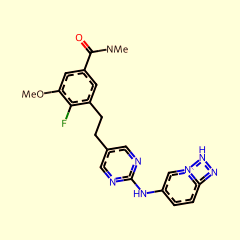 CNC(=O)c1cc(CCc2cnc(Nc3ccc4n[nH]n4c3)nc2)c(F)c(OC)c1